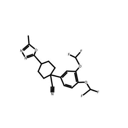 Cc1nnc(C2CCC(C#N)(c3ccc(OC(F)F)c(OC(F)F)c3)CC2)o1